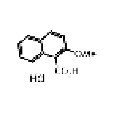 COc1ccc2ccccc2c1C(=O)O.Cl